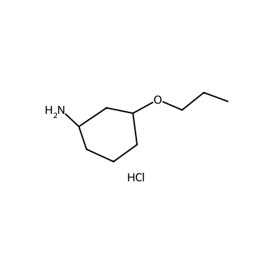 CCCOC1CCCC(N)C1.Cl